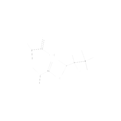 CC(C)C(=O)O.CC(C)C(=O)O.CC(C)C(O)(O)C(C)(C)C